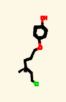 C[C@@H](CCCl)CCCOc1ccc(O)cc1